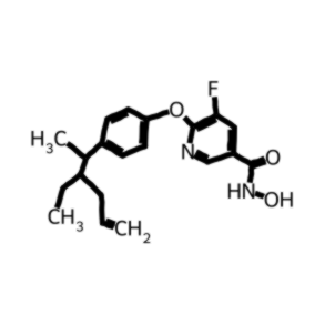 C=CCC(CC)C(C)c1ccc(Oc2ncc(C(=O)NO)cc2F)cc1